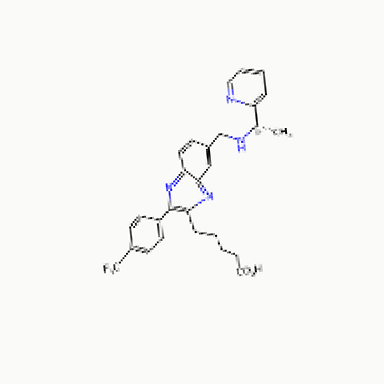 C[C@H](NCc1ccc2nc(-c3ccc(C(F)(F)F)cc3)c(CCCCC(=O)O)nc2c1)c1ccccn1